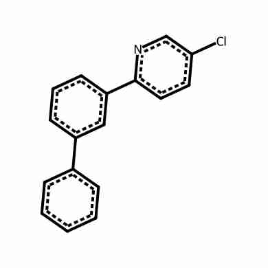 Clc1ccc(-c2cccc(-c3ccccc3)c2)nc1